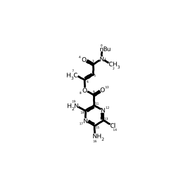 CCCCN(C)C(=O)C=C(C)OC(=O)c1nc(Cl)c(N)nc1N